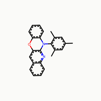 Cc1cc(C)c(N2c3ccccc3Oc3cc4ccccc4nc32)c(C)c1